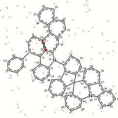 c1ccc(-c2ccccc2-c2ccccc2N(c2ccc3c(ccc4ccccc43)c2)c2cccc3c2-c2ccccc2C32c3ccccc3-n3c4ccccc4c4cccc2c43)cc1